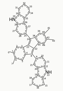 Cc1cc2c(cc1C)C(c1ccc3[nH]c4ccccc4c3c1)=C1C2=C(c2ccc3[nH]c4ccccc4c3c2)c2cc(C)c(C)cc21